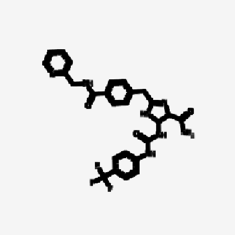 NC(=O)C1N=C(Cc2ccc(C(=O)NCc3ccccn3)cc2)NC1NC(=O)Nc1ccc(C(F)(F)F)cc1